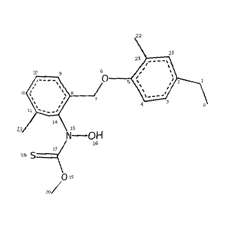 CCc1ccc(OCc2cccc(C)c2N(O)C(=S)OC)c(C)c1